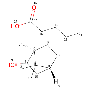 CC1(C)[C@@H]2CC[C@]1(C)[C@@H](O)C2.CCCCC(=O)O